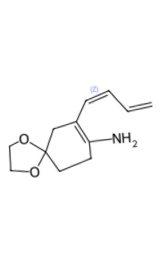 C=C/C=C\C1=C(N)CCC2(C1)OCCO2